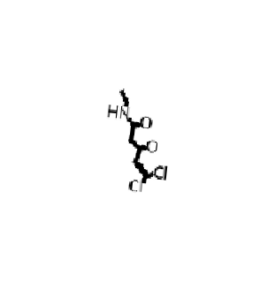 CCNC(=O)CC(=O)C=C(Cl)Cl